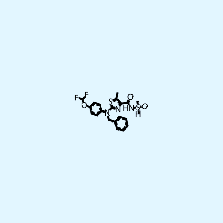 Cc1sc(N(Cc2ccccc2)c2ccc(OC(F)F)cc2)nc1C(=O)N[SH](C)(C)=O